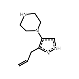 C=CCc1n[nH]cc1N1CCNCC1